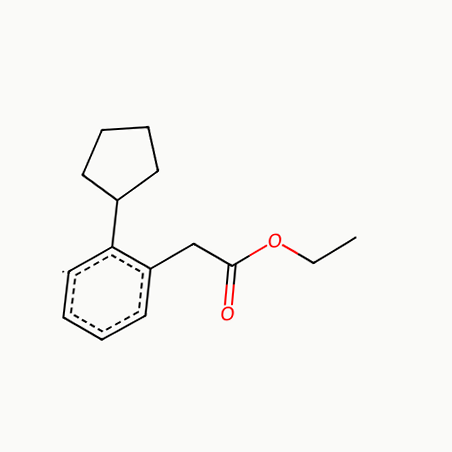 CCOC(=O)Cc1ccc[c]c1C1CCCC1